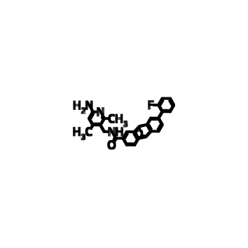 Cc1cc(N)nc(C)c1CNC(=O)c1ccc2c(c1)C1OC2c2ccc(-c3ccccc3F)cc21